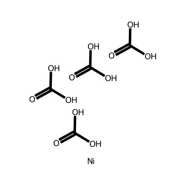 O=C(O)O.O=C(O)O.O=C(O)O.O=C(O)O.[Ni]